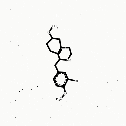 COc1ccc(CC2NCCC3=C2CCC(OC)C3)cc1O